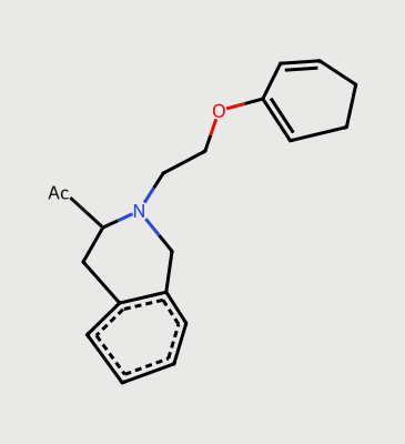 CC(=O)C1Cc2ccccc2CN1CCOC1=CCCC=C1